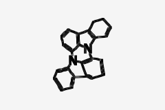 C1=Cc2c(c3cccc4c3n2c2cccc3c5ccccc5n4c32)CC1